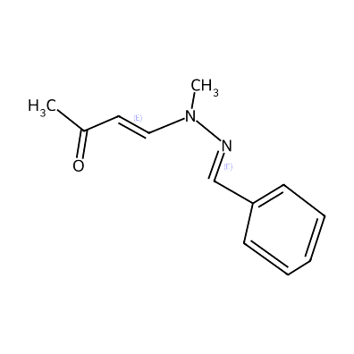 CC(=O)/C=C/N(C)/N=C/c1ccccc1